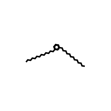 CCCCCCCCCCCCCc1[c]c(CCCCCCCCCCCCC)ccc1